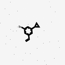 C=Cc1cc(Br)cc(C2CC2)c1